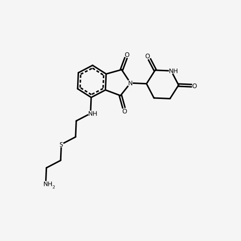 NCCSCCNc1cccc2c1C(=O)N(C1CCC(=O)NC1=O)C2=O